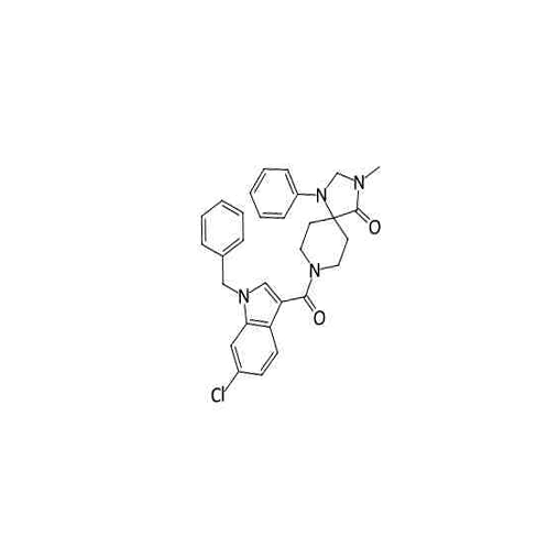 CN1CN(c2ccccc2)C2(CCN(C(=O)c3cn(Cc4ccccc4)c4cc(Cl)ccc34)CC2)C1=O